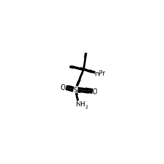 CCCC(C)(C)S(N)(=O)=O